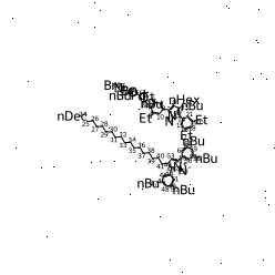 CCCCCCC1=C(c2cc(CC)cc(CC)c2)[N+](=[N-])C(c2cc(CC)cc(CC)c2)=C1CCCC.CCCCCCCCCCCCCCCCCCCCCCCCCCCC1=C(c2cc(CCCC)cc(CCCC)c2)[N+](=[N-])C(c2cc(CCCC)cc(CCCC)c2)=C1.CCCC[O][Pd][O]CCCC.[Br][Ni][Br]